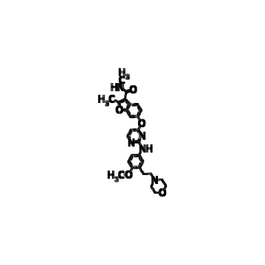 CNC(=O)c1c(C)oc2cc(Oc3ccnc(Nc4ccc(OC)c(CCN5CCOCC5)c4)n3)ccc12